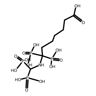 O=C(O)CCCCCC(NC(P(=O)(O)O)P(=O)(O)O)(P(=O)(O)O)P(=O)(O)O